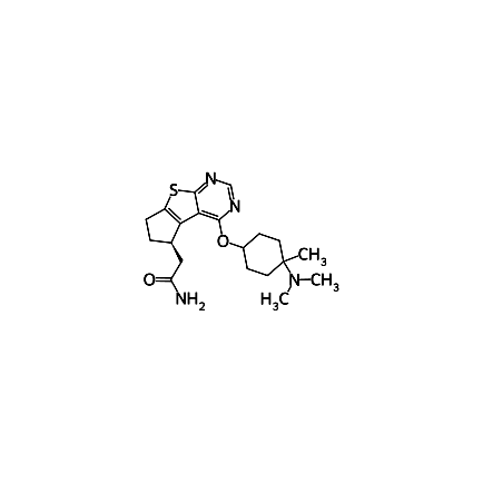 CN(C)C1(C)CCC(Oc2ncnc3sc4c(c23)[C@@H](CC(N)=O)CC4)CC1